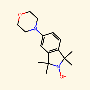 CC1(C)c2ccc(N3CCOCC3)cc2C(C)(C)N1O